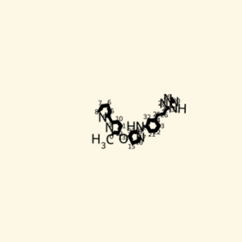 Cc1nc(-c2ccccn2)ccc1Oc1ccnc(Nc2cccc(CCc3nnn[nH]3)c2)c1